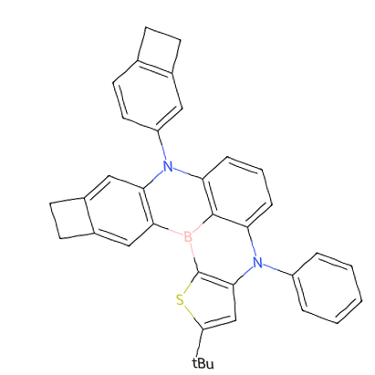 CC(C)(C)c1cc2c(s1)B1c3cc4c(cc3N(c3ccc5c(c3)CC5)c3cccc(c31)N2c1ccccc1)CC4